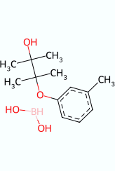 Cc1cccc(OC(C)(C)C(C)(C)O)c1.OBO